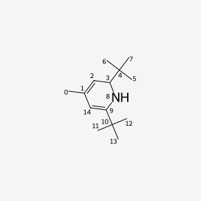 CC1=CC(C(C)(C)C)NC(C(C)(C)C)=C1